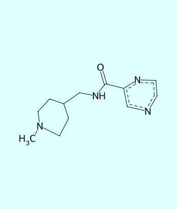 CN1CCC(CNC(=O)c2cnccn2)CC1